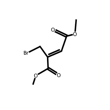 COC(=O)/C=C(\CBr)C(=O)OC